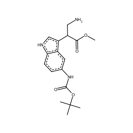 COC(=O)C(CN)c1c[nH]c2ccc(NC(=O)OC(C)(C)C)cc12